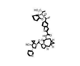 CCCN([C@@H](C)C(=O)O)[P@](=O)(Oc1ccccc1)[C@@H](F)c1ccc2sc(C(=O)N[C@H]3C[C@@H]4C[C@@H]4C[C@H]4CC[C@@H](C(=O)N5C[C@H](c6cccnc6)[C@@H](C#N)C56CC6)N4C3=O)cc2c1